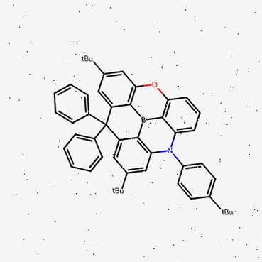 CC(C)(C)c1ccc(N2c3cccc4c3B3c5c(cc(C(C)(C)C)cc5C(c5ccccc5)(c5ccccc5)c5cc(C(C)(C)C)cc2c53)O4)cc1